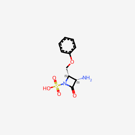 N[C@@H]1C(=O)N(S(=O)(=O)O)[C@@H]1COc1ccccc1